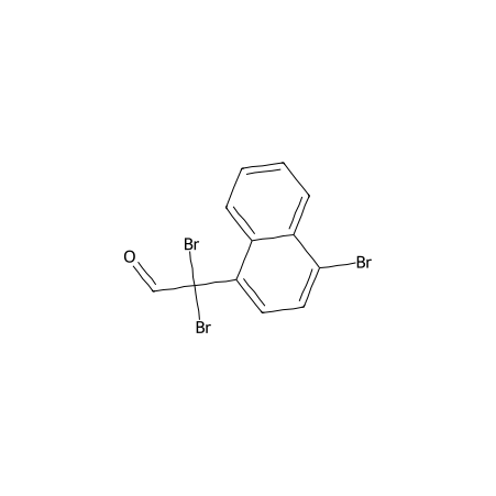 O=CC(Br)(Br)c1ccc(Br)c2ccccc12